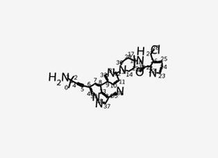 CC(C)(N)C#Cc1cc(-c2ccc(N3CCC(C)(NC(=O)c4ncccc4CCl)CC3)nc2)c2c(C#N)cnn2c1